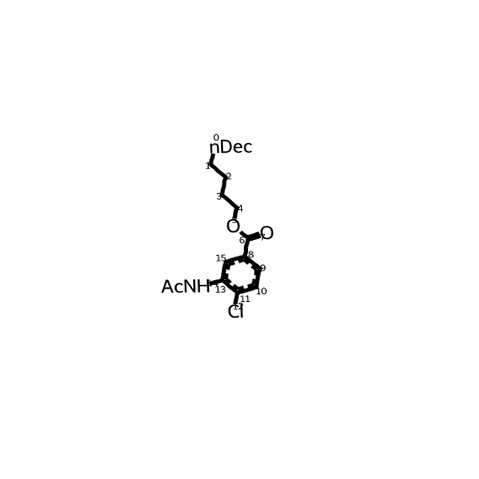 CCCCCCCCCCCCCCOC(=O)c1ccc(Cl)c(NC(C)=O)c1